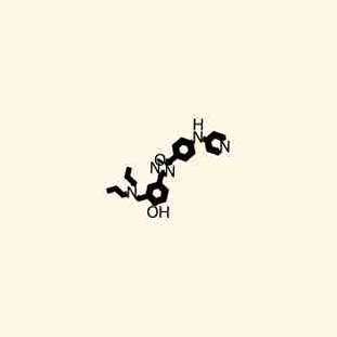 CCCN(CCC)Cc1cc(-c2noc(-c3ccc(Nc4ccncc4)cc3)n2)ccc1O